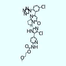 COCCOC(=O)Nc1ccc(-c2[nH]c([C@@H]3CCc4nc(-c5cc(Cl)ccc5-n5cnnn5)cc(=O)n43)nc2Cl)cn1